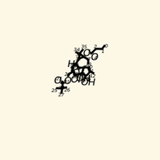 CCCC(=O)O[C@@]12CC[C@]34C=C(C)[C@H](O)[C@@]3(O)[C@H](O)C(COC(=O)C(C)(C)C)=C[C@H](C4=O)C1C2(C)C